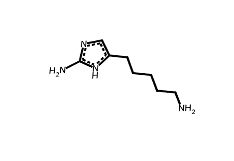 NCCCCCc1cnc(N)[nH]1